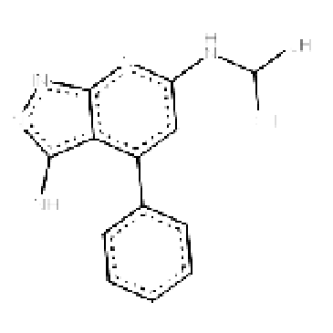 CC(C)Nc1cc(-c2ccccc2)c2c(N)n[nH]c2n1